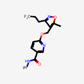 Cc1onc(CCC(F)(F)F)c1COc1ccc(C(=O)NC(C)C)cn1